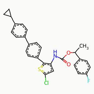 CC(OC(=O)Nc1cc(Cl)sc1-c1ccc(-c2ccc(C3CC3)cc2)cc1)c1ccc(F)cc1